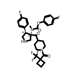 CN(C(=O)Oc1ccc(F)cc1)[C@]1(C(=O)C2CCN(C(=O)C3(C(F)(F)F)CCC3)CC2)CNC[C@H]1c1ccc(F)cc1